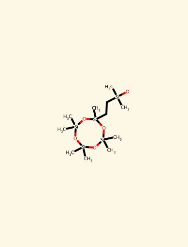 C[Si](C)([O])CC[Si]1(C)O[Si](C)(C)O[Si](C)(C)O[Si](C)(C)O1